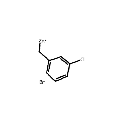 Clc1cccc([CH2][Zn+])c1.[Br-]